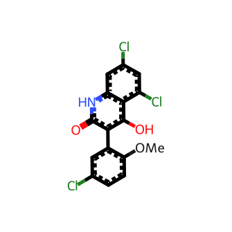 COc1ccc(Cl)cc1-c1c(O)c2c(Cl)cc(Cl)cc2[nH]c1=O